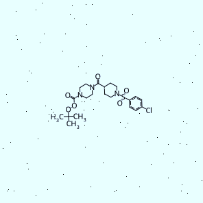 CC(C)(C)OOC(=O)N1CCN(C(=O)C2CCN(S(=O)(=O)c3ccc(Cl)cc3)CC2)CC1